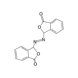 O=C1OC(N=NC2OC(=O)c3ccccc32)c2ccccc21